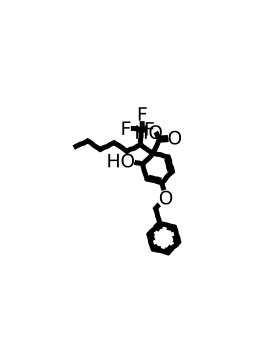 CCCCCC(C(F)(F)F)C1(C(=O)O)C=CC(OCc2ccccc2)=CC1O